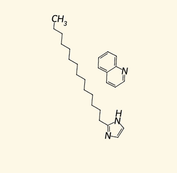 CCCCCCCCCCCCCCc1ncc[nH]1.c1ccc2ncccc2c1